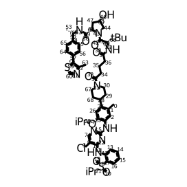 Cc1cc(Nc2ncc(Cl)c(Nc3ccccc3S(=O)(=O)C(C)C)n2)c(OC(C)C)cc1C1CCN(C(=O)CCCC(=O)N[C@H](C(=O)N2C[C@H](O)C[C@H]2C(=O)N[C@@H](C)c2ccc(-c3scnc3C)cc2)C(C)(C)C)CC1